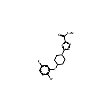 COC(=O)c1nc(N2CCC(Oc3cc(F)ccc3Br)CC2)no1